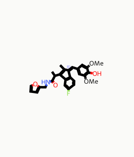 COc1cc(/C=C2/C(C)=C(C(C)C(=O)NCc3ccco3)c3cc(F)ccc32)cc(OC)c1O